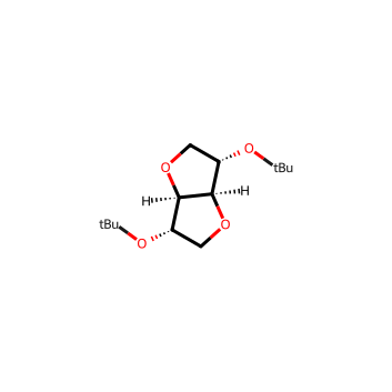 CC(C)(C)O[C@H]1CO[C@H]2[C@@H]1OC[C@@H]2OC(C)(C)C